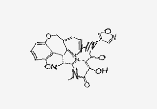 CC(c1nc(C(=O)Nc2cnoc2)c(O)c(=O)n1C)C1c2ncccc2COc2cccc(C#N)c21